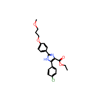 CCOC(=O)c1nc(-c2ccc(OCCCOC)cc2)[nH]c1-c1ccc(Cl)cc1